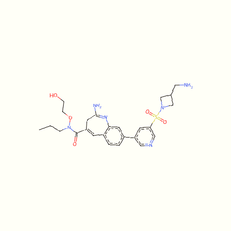 CCCN(OCCO)C(=O)C1=Cc2ccc(-c3cncc(S(=O)(=O)N4CC(CN)C4)c3)cc2N=C(N)C1